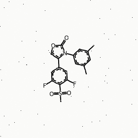 Cc1cc(C)cc(-n2c(-c3cc(F)c(S(C)(=O)=O)c(F)c3)coc2=O)c1